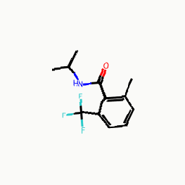 Cc1cccc(C(F)(F)F)c1C(=O)NC(C)C